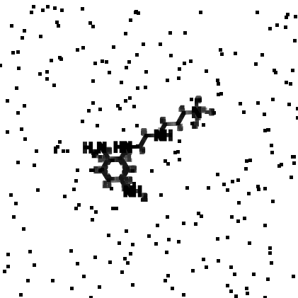 C[N+](C)(C)CCCNCCNc1cc(N)ccc1N